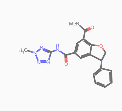 CNC(=O)c1cc(C(=O)Nc2nnn(C)n2)cc2c1OC[C@H]2c1ccccc1